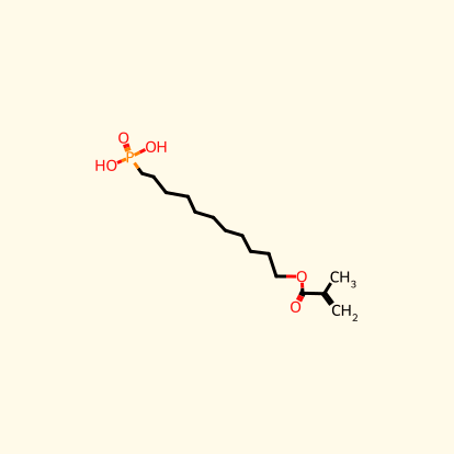 C=C(C)C(=O)OCCCCCCCCCCCP(=O)(O)O